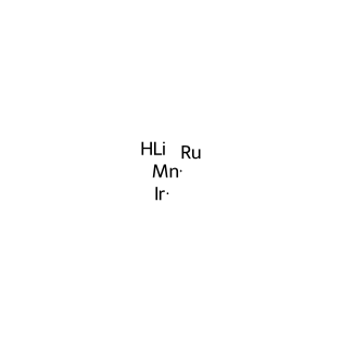 [Ir].[LiH].[Mn].[Ru]